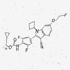 C[C@@H](OC(=O)Nc1c(F)cc(-c2c(C#N)c3ccc(OCCF)cc3n2C2CCC2)cc1F)C1CC1